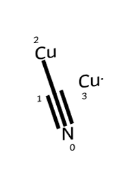 N#[C][Cu].[Cu]